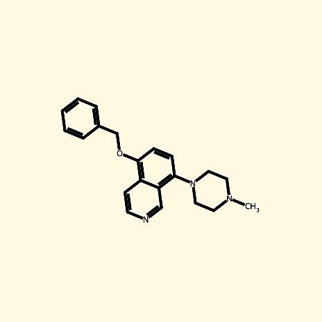 CN1CCN(c2ccc(OCc3ccccc3)c3ccncc23)CC1